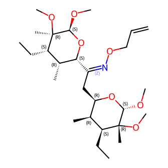 C=CCO/N=C(/C[C@H]1O[C@H](OC)[C@](C)(OC)[C@@H](CC)[C@H]1C)[C@H]1O[C@H](OC)[C@](C)(OC)[C@@H](CC)[C@H]1C